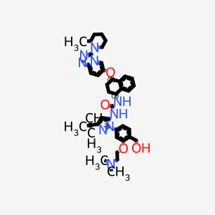 CC1CCCCN1c1nnc2ccc(O[C@@H]3CC[C@H](NC(=O)Nc4cc(C(C)(C)C)nn4-c4ccc(CO)c(OCCN(C)C)c4)c4ccccc43)cn12